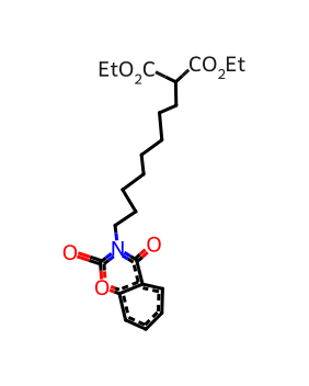 CCOC(=O)C(CCCCCCCCn1c(=O)oc2ccccc2c1=O)C(=O)OCC